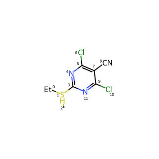 CC[SH](C)c1nc(Cl)c(C#N)c(Cl)n1